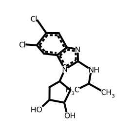 CC(C)Nc1nc2cc(Cl)c(Cl)cc2n1C1CC(O)C(O)C1